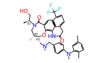 Cc1ccc(C)c(N(C)c2ccc(CN(C)C[C@H]3Oc4c(NC(=O)Cc5ccc(C(F)(F)F)cc5)cccc4C(=O)N([C@@H](C)CO)C[C@H]3C)cc2)c1